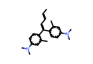 C/C=C/C=C(c1ccc(N(C)C)cc1C)c1ccc(N(C)C)cc1C